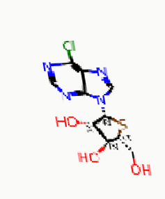 OC[C@H]1S[C@@H](n2cnc3c(Cl)ncnc32)[C@@H](O)[C@@H]1O